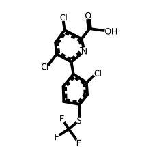 O=C(O)c1nc(-c2ccc(SC(F)(F)F)cc2Cl)c(Cl)cc1Cl